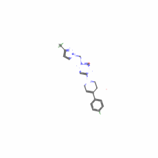 O=c1nc(N2CC=C(c3ccc(F)cc3)[C@@H](O)C2)cnn1Cn1ccc(C(F)(F)C(F)(F)F)n1